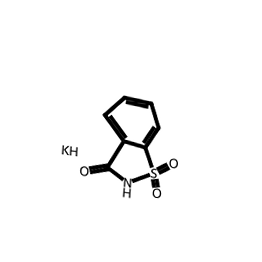 O=C1NS(=O)(=O)c2ccccc21.[KH]